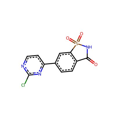 O=C1NS(=O)(=O)c2cc(-c3ccnc(Cl)n3)ccc21